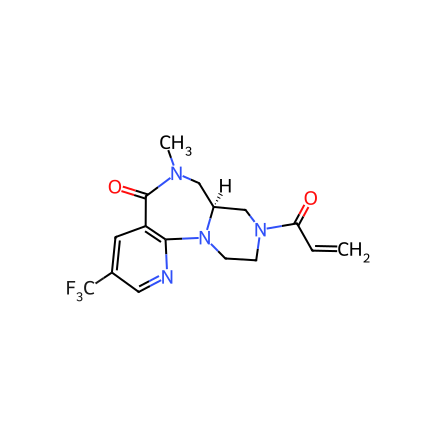 C=CC(=O)N1CCN2c3ncc(C(F)(F)F)cc3C(=O)N(C)C[C@H]2C1